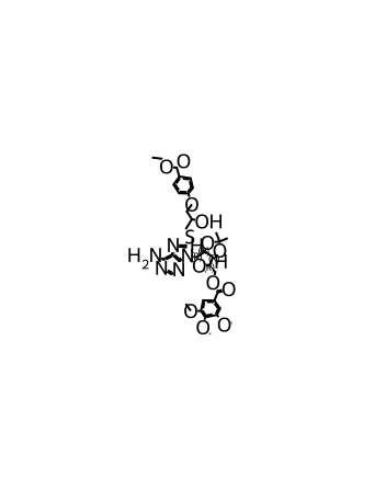 CCOC(=O)c1ccc(OCC(O)CSc2nc3c(N)ncnc3n2[C@@H]2O[C@H](COC(=O)c3cc(OC)c(OC)c(OC)c3)[C@H]3OC(C)(C)O[C@H]32)cc1